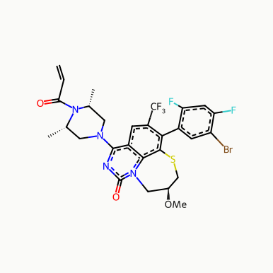 C=CC(=O)N1[C@H](C)CN(c2nc(=O)n3c4c(c(-c5cc(Br)c(F)cc5F)c(C(F)(F)F)cc24)SC[C@@H](OC)C3)C[C@@H]1C